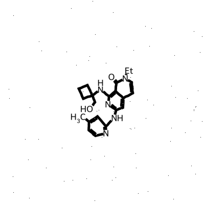 CCn1ccc2cc(Nc3cc(C)ccn3)nc(NC3(CO)CCC3)c2c1=O